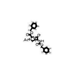 CC(=O)N1CC2[C@@H](NC(=O)OCc3ccccc3)C(=O)N2C1C(=O)OCc1ccccc1